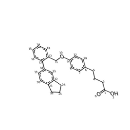 O=C(O)CCCc1ccc(OCc2ccccc2-c2ccc3c(c2)CCC3)cc1